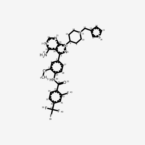 COc1cc(-c2nn(C3CCN(Cc4ccsc4)CC3)c3ncnc(N)c23)ccc1NC(=O)c1ccc(C(F)(F)F)cc1F